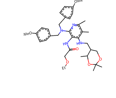 CCOCC(=O)Nc1c(N(Cc2ccc(OC)cc2)Cc2ccc(OC)cc2)nc(C)c(C)c1NCC1COC(C)(C)OC1C